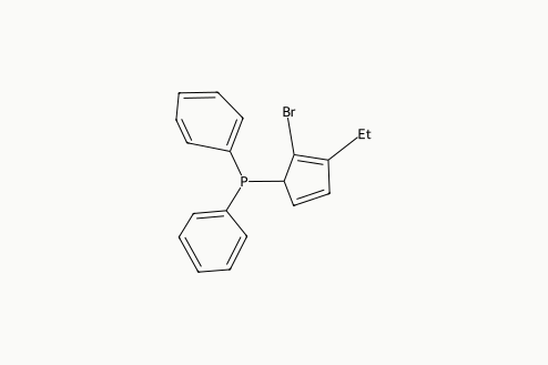 CCC1=C(Br)C(P(c2ccccc2)c2ccccc2)C=C1